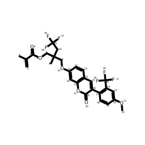 C=C(C)C(=O)OCC(C)(COc1ccc2cc(-c3ccc(OC)cc3C(F)(F)F)c(=O)oc2c1)CC(F)(F)F